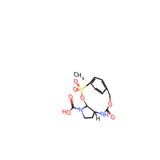 C.O=C1N[C@@H]2CCN(C(=O)O)C2OS(=O)(=O)c2ccc(cc2)CO1